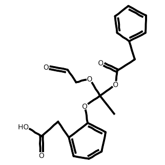 CC(OCC=O)(OC(=O)Cc1ccccc1)Oc1ccccc1CC(=O)O